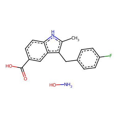 Cc1[nH]c2ccc(C(=O)O)cc2c1Cc1ccc(F)cc1.NO